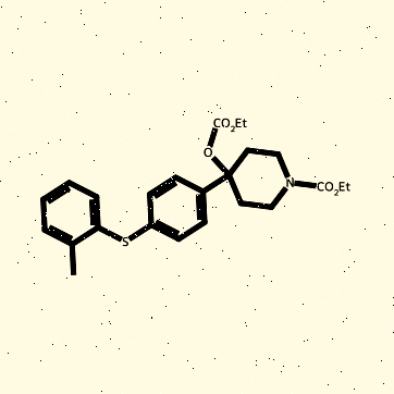 CCOC(=O)OC1(c2ccc(Sc3ccccc3C)cc2)CCN(C(=O)OCC)CC1